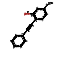 CC(C)(C)c1ccc(C#Cc2ccccc2)c(Br)c1